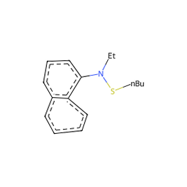 CCCCSN(CC)c1cccc2ccccc12